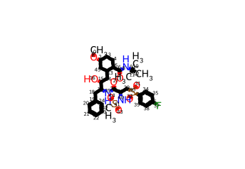 COC1CCC(C(=O)NC(C)(C)C)C(CC(O)C(Cc2ccccc2)NC(=O)C(CS(=O)(=O)c2ccc(F)cc2)NS(C)(=O)=O)C1